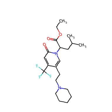 CCOC(=O)C(CC(C)C)n1cc(CCN2CCCCC2)c(C(F)(F)F)cc1=O